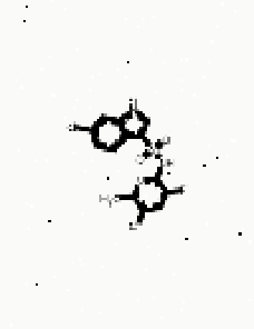 Cc1nc(NS(=O)(=O)c2c[nH]c3cc(Cl)ccc23)c(F)cc1Cl